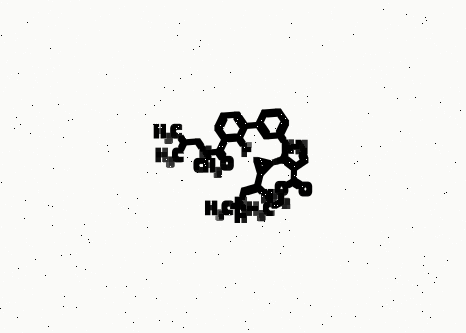 CCOC(=O)c1cnn(-c2cccc(-c3cccc(C(=O)N(C)CC(C)C)c3F)c2)c1[C@@H]1CC1/C(N)=C/NC